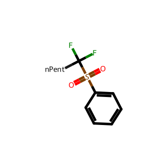 CCCCCC(F)(F)S(=O)(=O)c1ccccc1